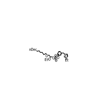 CCCCCCCCCCCCCCCCOCC(COP(=O)(O)Oc1cccc(CN2C=CN(CC)C2)c1)OCC